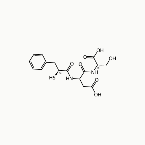 O=C(O)CC(NC(=O)[C@@H](S)Cc1ccccc1)C(=O)N[C@@H](CO)C(=O)O